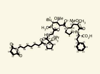 CC[C@H](C)[C@@H]([C@@H](CC(=O)N1CCC[C@H]1[C@H](OC)[C@@H](C)C(=O)N[C@@H](Cc1ccccc1)C(=O)O)OC)N(C)C(=O)[C@@H](NC(=O)[C@]1(C)CCCN1C(=O)CCCCCCN1C(=O)C=CC1=O)C(C)C